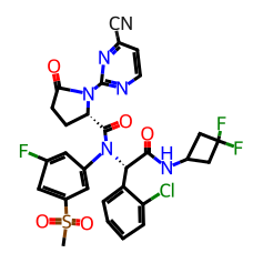 CS(=O)(=O)c1cc(F)cc(N(C(=O)[C@@H]2CCC(=O)N2c2nccc(C#N)n2)[C@H](C(=O)NC2CC(F)(F)C2)c2ccccc2Cl)c1